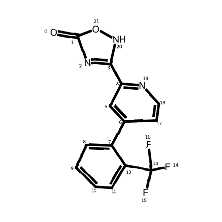 O=c1nc(-c2cc(-c3ccccc3C(F)(F)F)ccn2)[nH]o1